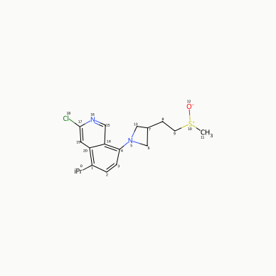 CC(C)c1ccc(N2CC(CC[S+](C)[O-])C2)c2cnc(Cl)cc12